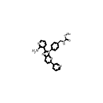 CC(C)(C)OC(=O)NCc1ccc(-n2c(-c3cccnc3N)nc3ccc(-c4cccnc4)nc32)cc1